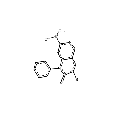 C[S+]([O-])c1ncc2cc(Br)c(=O)n(-c3ccccc3)c2n1